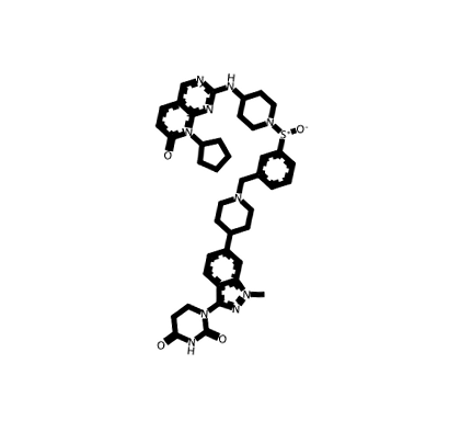 Cn1nc(N2CCC(=O)NC2=O)c2ccc(C3CCN(Cc4cccc([S+]([O-])N5CCC(Nc6ncc7ccc(=O)n(C8CCCC8)c7n6)CC5)c4)CC3)cc21